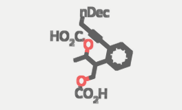 CCCCCCCCCCCC#Cc1ccccc1C(COC(=O)O)C(C)OC(=O)O